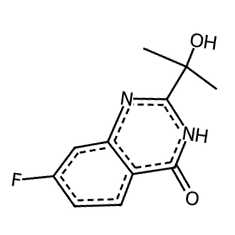 CC(C)(O)c1nc2cc(F)ccc2c(=O)[nH]1